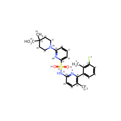 Cc1c(F)cccc1-c1nc(NS(=O)(=O)c2cccc(N3CCC(C)(C(=O)O)CC3)n2)ccc1C(F)(F)F